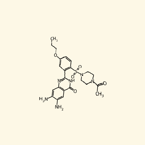 CCCOc1ccc(S(=O)(=O)N2CCN(C(C)=O)CC2)c(-c2nc3cc(N)c(N)cc3c(=O)[nH]2)c1